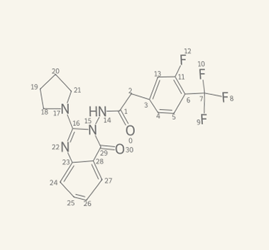 O=C(Cc1ccc(C(F)(F)F)c(F)c1)Nn1c(N2CCCC2)nc2ccccc2c1=O